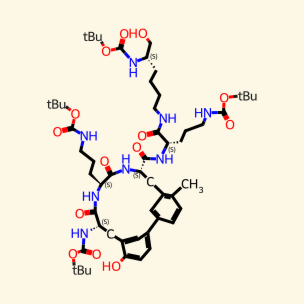 Cc1ccc2cc1C[C@@H](C(=O)N[C@@H](CCCNC(=O)OC(C)(C)C)C(=O)NCCCC[C@@H](CO)NC(=O)OC(C)(C)C)NC(=O)[C@H](CCCNC(=O)OC(C)(C)C)NC(=O)[C@@H](NC(=O)OC(C)(C)C)Cc1cc-2ccc1O